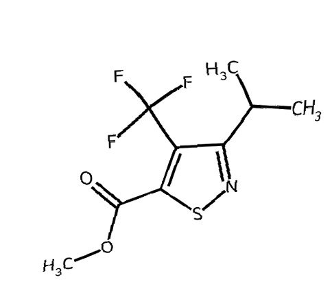 COC(=O)c1snc(C(C)C)c1C(F)(F)F